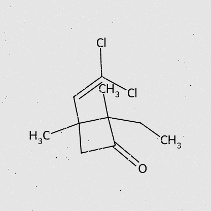 CCC1(C)C(=O)CC1(C)C=C(Cl)Cl